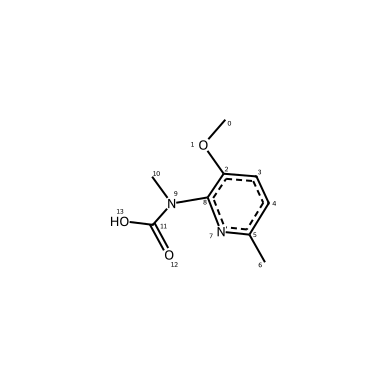 COc1ccc(C)nc1N(C)C(=O)O